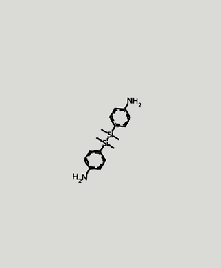 C[Si](C)(c1ccc(N)cc1)[Si](C)(C)c1ccc(N)cc1